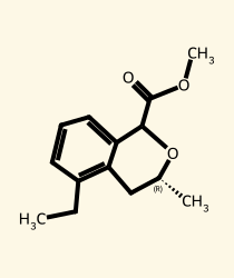 CCc1cccc2c1C[C@@H](C)OC2C(=O)OC